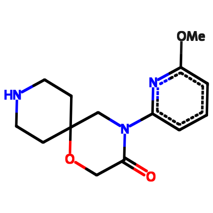 COc1cccc(N2CC3(CCNCC3)OCC2=O)n1